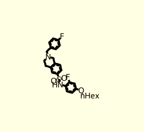 CCCCCCOc1ccc(NS(=O)(=O)c2ccc3c(c2)CCN(Cc2ccc(F)cc2)C3)c(F)c1